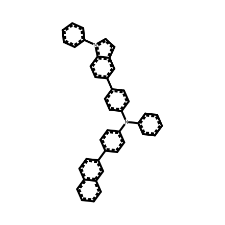 c1ccc(N(c2ccc(-c3ccc4ccccc4c3)cc2)c2ccc(-c3ccc4c(ccn4-c4ccccc4)c3)cc2)cc1